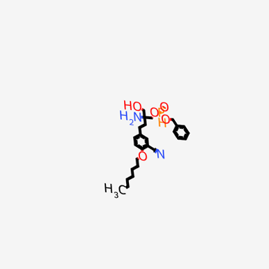 CCCCCCCOc1ccc(CCC(N)(CO)CO[PH](=O)OCc2ccccc2)cc1C#N